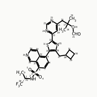 C[C@H](NS(=O)(=O)c1ccc(-c2sc(-c3cc(CC(C)(C)OC=O)ncn3)nc2CC2CCC2)c2ccncc12)C(F)(F)F